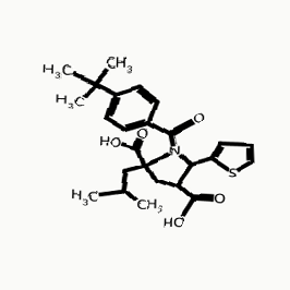 CC(C)CC1(C(=O)O)CC(C(=O)O)C(c2cccs2)N1C(=O)c1ccc(C(C)(C)C)cc1